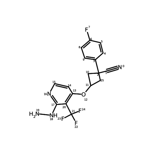 N#CC1(c2ccc(F)cc2)CC(Oc2ccnc(NN)c2C(F)(F)F)C1